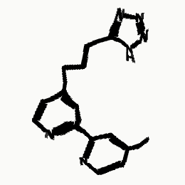 Cc1ccnc(-c2cc(CCCc3nnn[nH]3)ccn2)c1